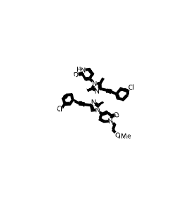 COCCn1ccc(-n2cc(C#Cc3cccc(Cl)c3)nc2C)cc1=O.Cc1nc(C#Cc2cccc(Cl)c2)c(C)n1-c1cc[nH]c(=O)c1